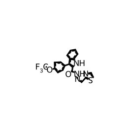 O=C(N/N=C\c1nccs1)c1[nH]c2ccccc2c1-c1ccc(OC(F)(F)F)cc1